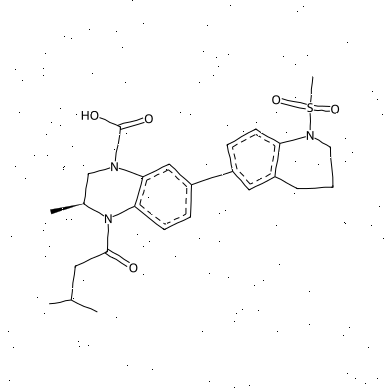 CC(C)CC(=O)N1c2ccc(-c3ccc4c(c3)CCCN4S(C)(=O)=O)cc2N(C(=O)O)C[C@@H]1C